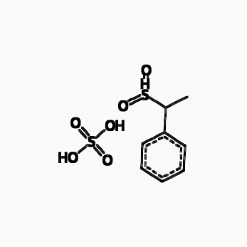 CC(c1ccccc1)[SH](=O)=O.O=S(=O)(O)O